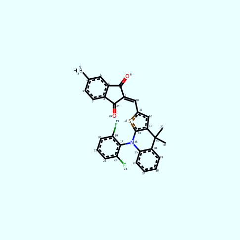 Bc1ccc2c(c1)C(=O)/C(=C/c1cc3c(s1)N(c1c(F)cccc1F)c1ccccc1C3(C)C)C2=O